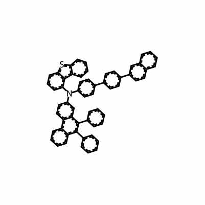 c1ccc(-c2c(-c3ccccc3)c3cc(N(c4ccc(-c5ccc(-c6ccc7ccccc7c6)cc5)cc4)c4cccc5sc6ccccc6c45)ccc3c3ccccc23)cc1